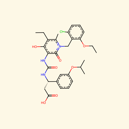 CCOc1cccc(Cl)c1Cn1c(C)c(CC)c(O)c(NC(=O)N[C@@H](CC(=O)O)c2cccc(OC(C)C)c2)c1=O